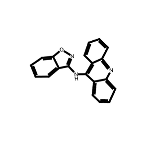 c1ccc2c(Nc3noc4ccccc34)c3ccccc3nc2c1